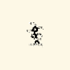 CCC(COC)Nc1ncnc(-c2cc(C)c(OC)cc2C)c1N